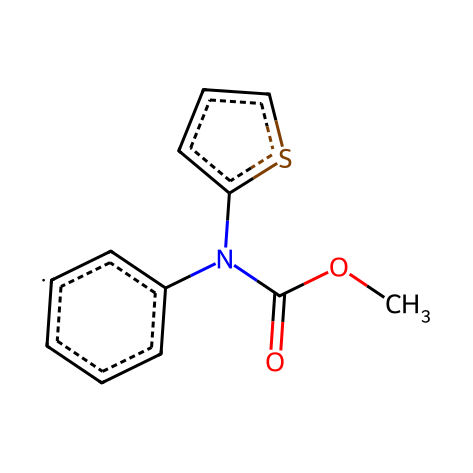 COC(=O)N(c1c[c]ccc1)c1cccs1